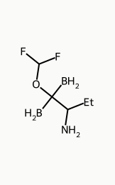 BC(B)(OC(F)F)C(N)CC